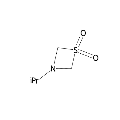 CC(C)N1CS(=O)(=O)C1